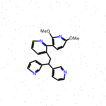 COc1ccc(-c2ncccc2CC(c2cccnc2)c2cccnc2)c(OC)n1